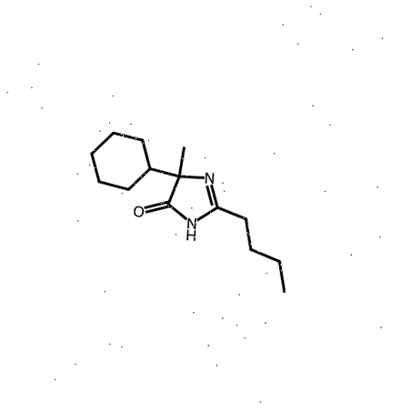 CCCCC1=NC(C)(C2CCCCC2)C(=O)N1